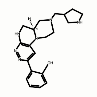 Oc1ccccc1-c1cc2c(nn1)NC[C@H]1CN(CC3CCNC3)CCN21